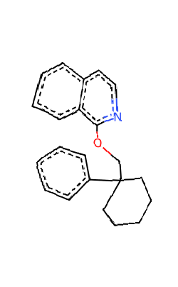 c1ccc(C2(COc3nccc4ccccc34)CCCCC2)cc1